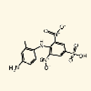 Cc1cc(N)ccc1Nc1c([N+](=O)[O-])cc(S(=O)(=O)O)cc1[N+](=O)[O-]